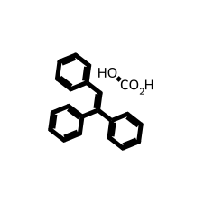 C(=C(c1ccccc1)c1ccccc1)c1ccccc1.O=C(O)O